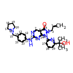 C=CCn1c(=O)c2cnc(Nc3ccc(CN4CCCC4)cc3)nc2n1-c1cccc(C(C)(C)O)n1